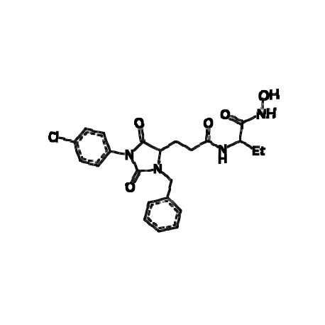 CCC(NC(=O)CCC1C(=O)N(c2ccc(Cl)cc2)C(=O)N1Cc1ccccc1)C(=O)NO